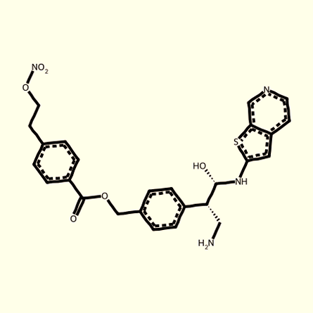 NC[C@H](c1ccc(COC(=O)c2ccc(CCO[N+](=O)[O-])cc2)cc1)[C@H](O)Nc1cc2ccncc2s1